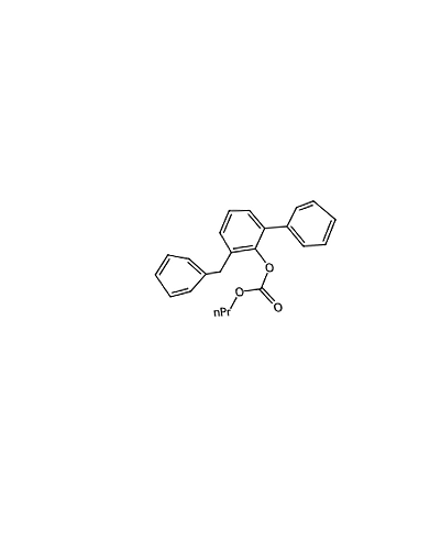 CCCOC(=O)Oc1c(Cc2ccccc2)cccc1-c1ccccc1